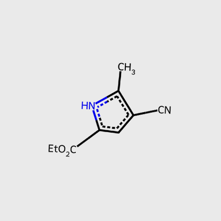 CCOC(=O)c1cc(C#N)c(C)[nH]1